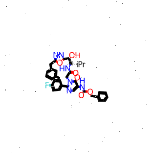 Cc1cccc(Cc2nnc(C(O)[C@@H](NC(=O)Cn3c(-c4ccc(F)cc4)ncc(NC(=O)OCc4ccccc4)c3=O)C(C)C)o2)c1